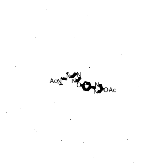 CC(=O)Oc1cnc(-c2ccc(Oc3cncc(N(C)CCN(C)C(C)=O)n3)cc2)nc1